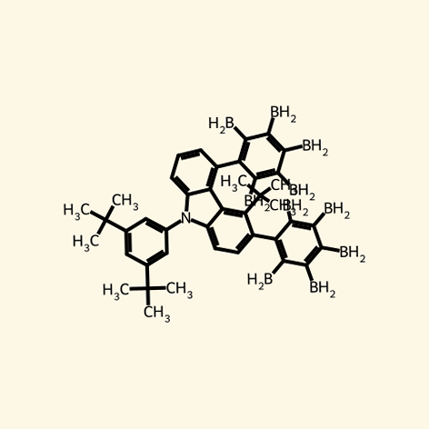 Bc1c(B)c(B)c(-c2ccc3c(c2C(C)(C)C)c2c(-c4c(B)c(B)c(B)c(B)c4B)cccc2n3-c2cc(C(C)(C)C)cc(C(C)(C)C)c2)c(B)c1B